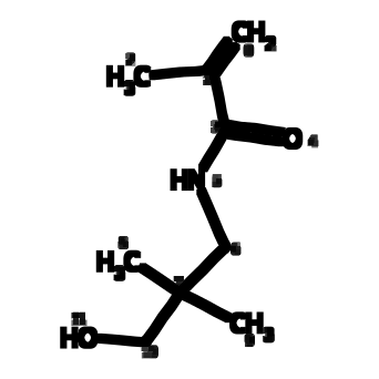 C=C(C)C(=O)NCC(C)(C)CO